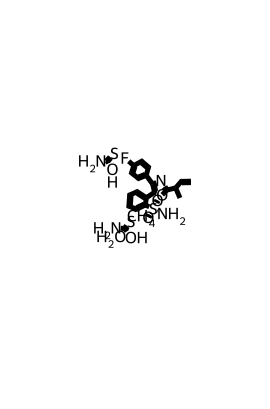 C.C=CC(C)c1nc(-c2ccc(F)cc2)c(-c2ccccc2S(N)(=O)=O)o1.NC(O)=S.NC(O)=S.O